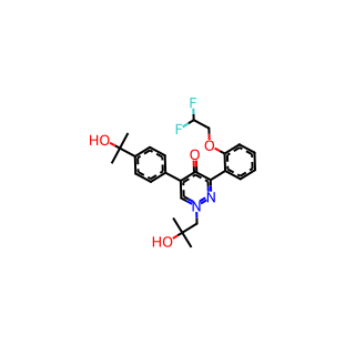 CC(C)(O)Cn1cc(-c2ccc(C(C)(C)O)cc2)c(=O)c(-c2ccccc2OCC(F)F)n1